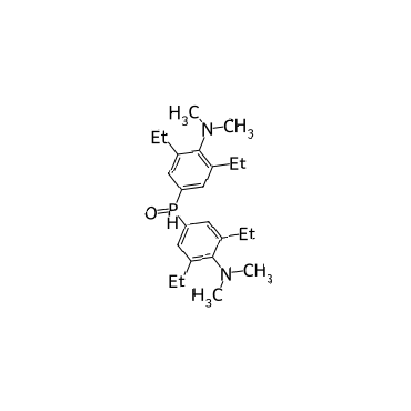 CCc1cc([PH](=O)c2cc(CC)c(N(C)C)c(CC)c2)cc(CC)c1N(C)C